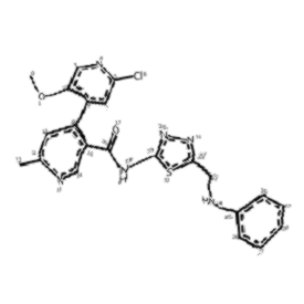 COc1cnc(Cl)cc1-c1cc(C)ncc1C(=O)Nc1nnc(CNc2ccccc2)s1